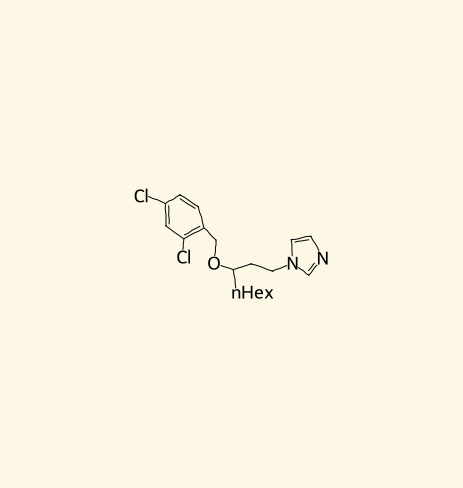 CCCCCCC(CCn1ccnc1)OCc1ccc(Cl)cc1Cl